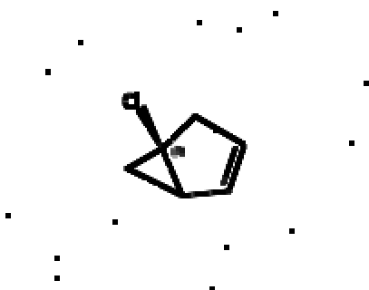 Cl[C@@]12CC=CC1C2